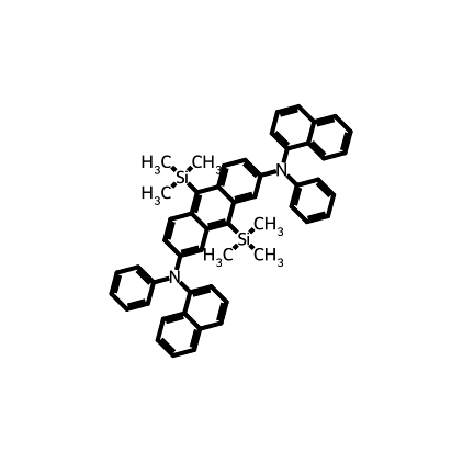 C[Si](C)(C)c1c2ccc(N(c3ccccc3)c3cccc4ccccc34)cc2c([Si](C)(C)C)c2cc(N(c3ccccc3)c3cccc4ccccc34)ccc12